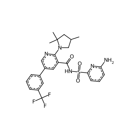 CC1CN(c2ncc(-c3cccc(C(F)(F)F)c3)cc2C(=O)NS(=O)(=O)c2cccc(N)n2)C(C)(C)C1